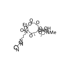 CC[C@H]1OC(=O)[C@H](C)C(=O)[C@H](C)[C@@H](O[C@@H]2O[C@H](C)C[C@H](NC)[C@H]2O)[C@](C)(OC)C[C@@H](C)C(=O)[C@H](C)C2N(CCCCn3cnc(-c4cccnc4)c3)C(=O)O[C@@]21C